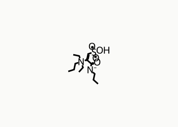 CCC[N-]C(=O)C(=CS(=O)(=O)O)[N+](CC)(CC)CCC